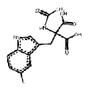 CC(=O)NC(Cc1c[nH]c2ccc(F)cc12)(C(=O)O)C(=O)O